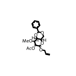 C=CCO[C@@H]1O[C@@H]2COC(c3ccccc3)O[C@H]2[C@H](OC)[C@H]1OC(C)=O